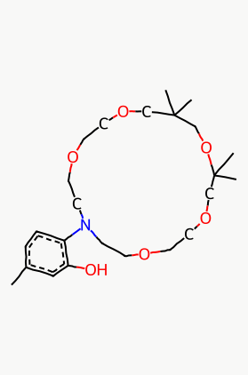 Cc1ccc(N2CCOCCOCC(C)(C)COC(C)(C)COCCOCC2)c(O)c1